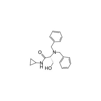 O=C(NC1CC1)[C@@H](CO)N(Cc1ccccc1)Cc1ccccc1